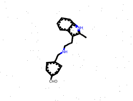 Cc1[nH]c2ccccc2c1CCNCc1ccc(C=O)cc1